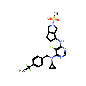 CC(F)(F)c1ccc(CN(c2ncnc(NC3CCC4CN(S(C)(=O)=O)CC43)c2F)C2CC2)cc1